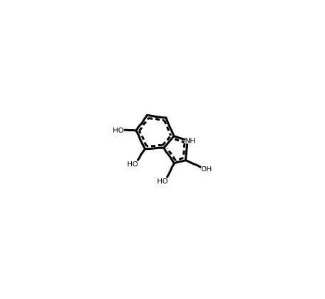 Oc1ccc2[nH]c(O)c(O)c2c1O